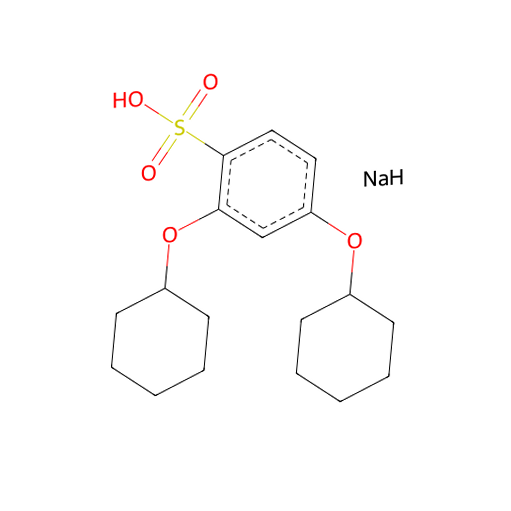 O=S(=O)(O)c1ccc(OC2CCCCC2)cc1OC1CCCCC1.[NaH]